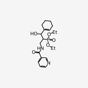 CCOP(=O)(OCC)C(CNC(=O)c1cccnc1)C(O)C1=CCCCC1